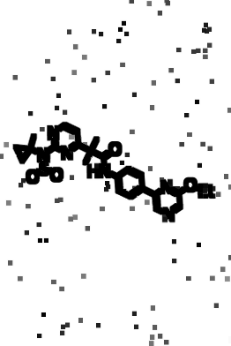 CCOc1cncc(-c2ccc(NC(=O)C(C)(C)c3ccnc(N([SH](=O)=O)C4(C)CC4)n3)cc2)n1